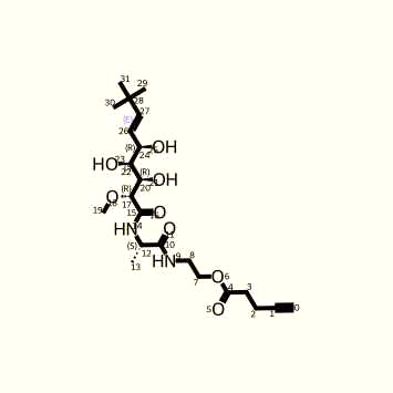 C#CCCC(=O)OCCNC(=O)[C@H](C)NC(=O)[C@H](OC)[C@H](O)[C@@H](O)[C@H](O)/C=C/C(C)(C)C